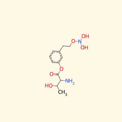 CC(O)C(N)C(=O)Oc1cccc(CCON(O)O)c1